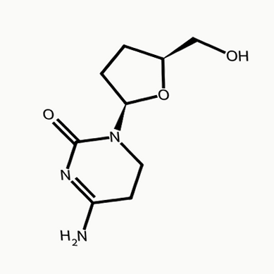 NC1=NC(=O)N([C@H]2CC[C@@H](CO)O2)CC1